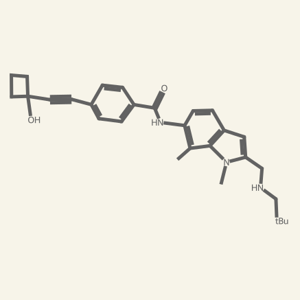 Cc1c(NC(=O)c2ccc(C#CC3(O)CCC3)cc2)ccc2cc(CNCC(C)(C)C)n(C)c12